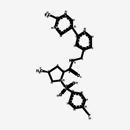 C[C@H]1C[C@@H](C(=O)NCc2ccnc(-c3cnc(C(F)(F)F)nc3)c2)N(S(=O)(=O)c2ccc(F)cc2)C1